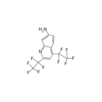 Nc1ccc2c(C(F)(F)C(F)(F)F)cc(C(F)(F)C(F)(F)F)nc2c1